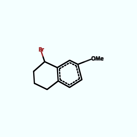 COc1ccc2c(c1)C(Br)CCC2